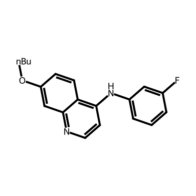 CCCCOc1ccc2c(Nc3cccc(F)c3)ccnc2c1